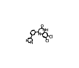 O=C1CC(c2cccc(-c3cncnc3)c2)=Nc2cc(Cl)c(Cl)cc2N1